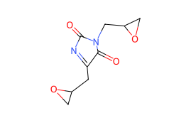 O=C1N=C(CC2CO2)C(=O)N1CC1CO1